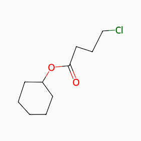 O=C(CCCCl)OC1CCCCC1